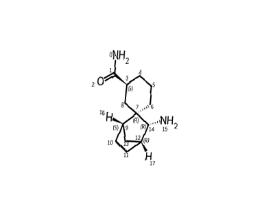 NC(=O)[C@H]1CCC[C@@]2(C1)[C@H]1CC[C@H](C1)[C@H]2N